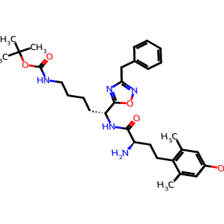 Cc1cc(O)cc(C)c1CC[C@@H](N)C(=O)N[C@H](CCCCNC(=O)OC(C)(C)C)c1nc(Cc2ccccc2)no1